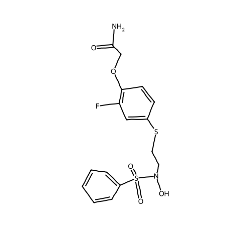 NC(=O)COc1ccc(SCCN(O)S(=O)(=O)c2ccccc2)cc1F